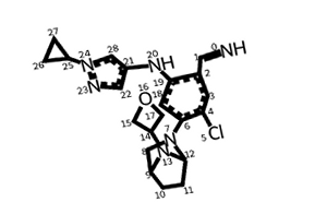 N=Cc1cc(Cl)c(N2CC3CCC2N3C2COC2)cc1Nc1cnn(C2CC2)c1